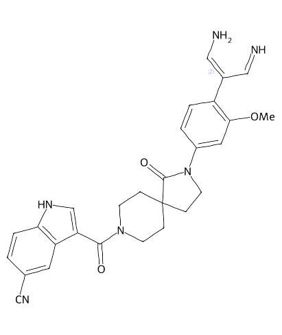 COc1cc(N2CCC3(CCN(C(=O)c4c[nH]c5ccc(C#N)cc45)CC3)C2=O)ccc1/C(C=N)=C/N